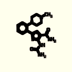 CN1CCN(c2ccccc2-c2cc(C(N)=O)c(NC(N)=O)s2)CC1